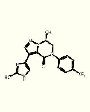 C[C@H]1CN(c2ccc(C(F)(F)F)cc2)C(=O)c2c(-c3c[nH]c(C#N)n3)cnn21